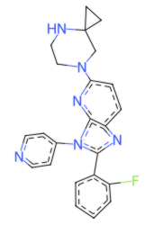 Fc1ccccc1-c1nc2ccc(N3CCNC4(CC4)C3)nc2n1-c1ccncc1